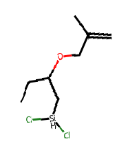 C=C(C)COC(CC)C[SiH](Cl)Cl